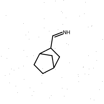 N=CC1CC2CCC1C2